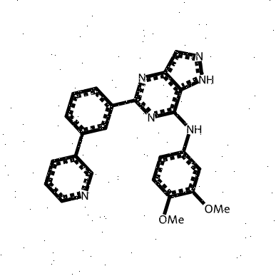 COc1ccc(Nc2nc(-c3cccc(-c4cccnc4)c3)nc3cn[nH]c23)cc1OC